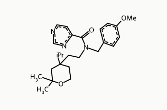 COc1ccc(CN(CCC2(C(C)C)CCOC(C)(C)C2)C(=O)c2ccncn2)cc1